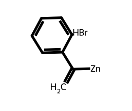 Br.C=[C]([Zn])c1ccccc1